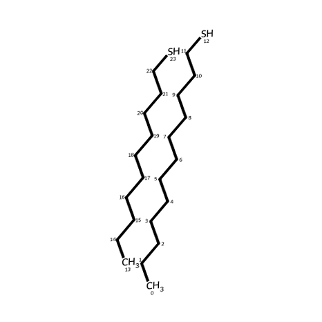 CCCCCCCCCCCCS.CCCCCCCCCCS